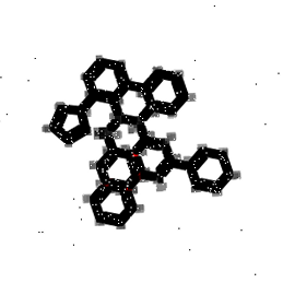 C1=CC(c2cccc3c2B(Nc2ccccc2)N(c2nc(C4=CCCC=C4)nc(-c4ccccc4)n2)c2ccccc2-3)C=C1